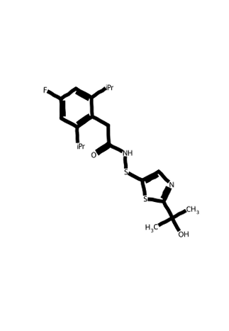 CC(C)c1cc(F)cc(C(C)C)c1CC(=O)NSc1cnc(C(C)(C)O)s1